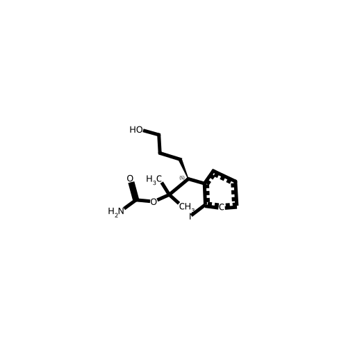 CC(C)(OC(N)=O)[C@@H](CCCO)c1ccccc1I